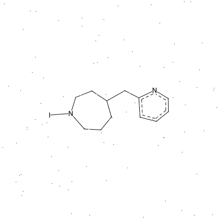 IN1CCCC(Cc2ccccn2)CC1